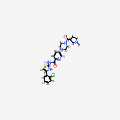 CN1CCC(C(=O)N2CCN(c3ccc(C(=O)Nc4nc(-c5ccccc5Cl)cs4)nc3)CC2)C1